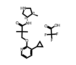 C[C@@H]1CNC[C@H]1NC(=O)C(C)(C)COc1ncccc1C1CC1.O=C(O)C(F)(F)F